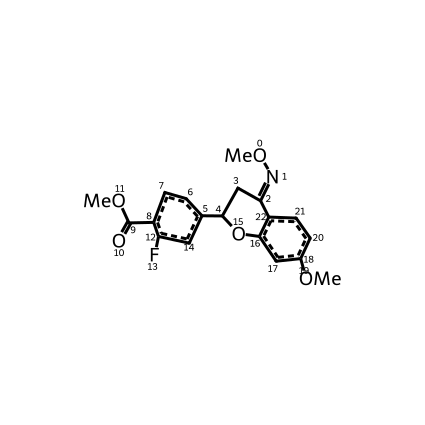 CO/N=C1\CC(c2ccc(C(=O)OC)c(F)c2)Oc2cc(OC)ccc21